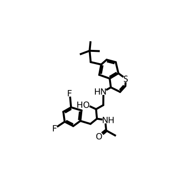 CC(=O)NC(Cc1cc(F)cc(F)c1)C(O)CNC1C=CSc2ccc(CC(C)(C)C)cc21